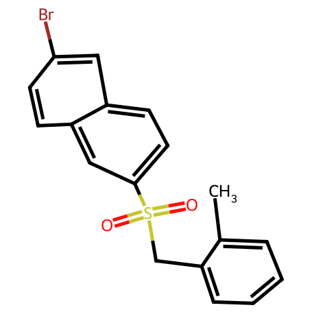 Cc1ccccc1CS(=O)(=O)c1ccc2cc(Br)ccc2c1